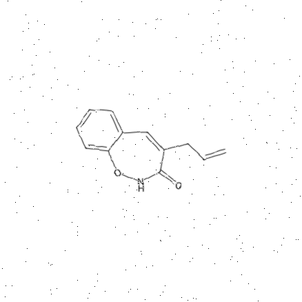 C=CCC1=Cc2ccccc2ONC1=O